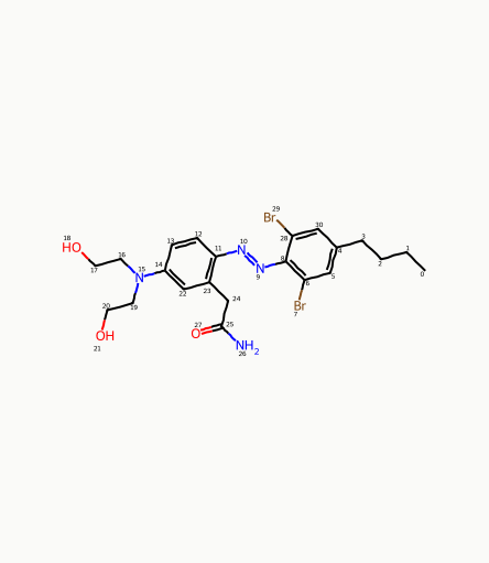 CCCCc1cc(Br)c(N=Nc2ccc(N(CCO)CCO)cc2CC(N)=O)c(Br)c1